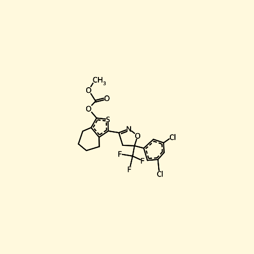 COC(=O)Oc1sc(C2=NOC(c3cc(Cl)cc(Cl)c3)(C(F)(F)F)C2)c2c1CCCC2